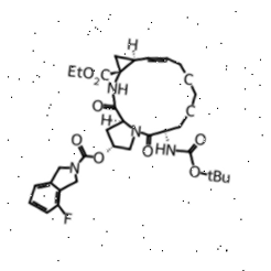 CCOC(=O)[C@@]12C[C@H]1/C=C\CCCCC[C@H](NC(=O)OC(C)(C)C)C(=O)N1C[C@H](OC(=O)N3Cc4cccc(F)c4C3)C[C@H]1C(=O)N2